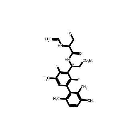 C=CNC(CC(C)C)C(=O)N[C@@H](CC(=O)OCC)c1c(F)c(-c2c(C)ccc(C)c2C)cc(C(F)(F)F)c1F